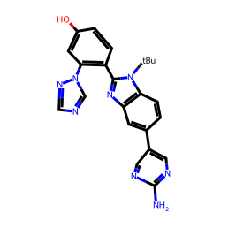 CC(C)(C)n1c(-c2ccc(O)cc2-n2cncn2)nc2cc(-c3cnc(N)nc3)ccc21